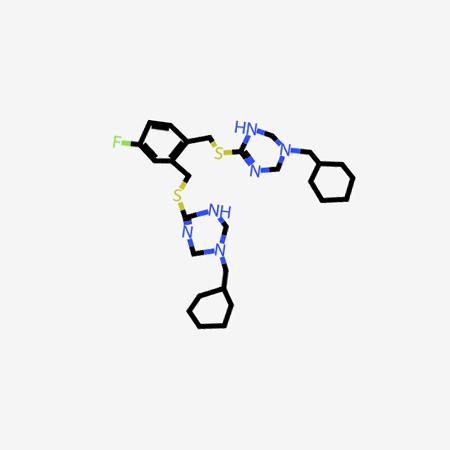 Fc1ccc(CSC2=NCN(CC3CCCCC3)CN2)c(CSC2=NCN(CC3CCCCC3)CN2)c1